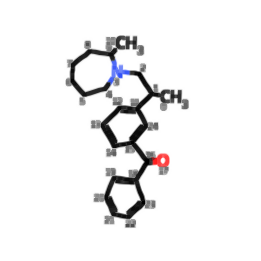 CC(CN1CCCCCC1C)c1cccc(C(=O)c2ccccc2)c1